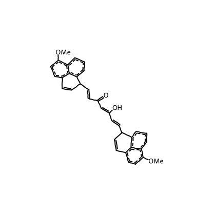 COc1ccc2c3c(cccc13)C(/C=C/C(=O)/C=C(O)/C=C/C1C=Cc3ccc(OC)c4cccc1c34)C=C2